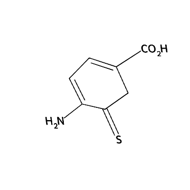 NC1=CC=C(C(=O)O)CC1=S